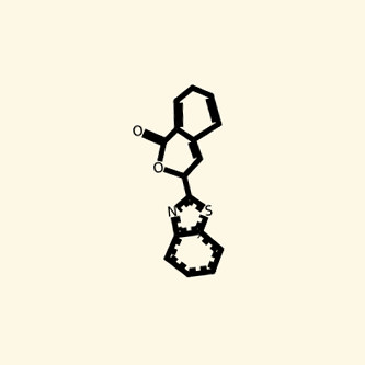 O=C1OC(c2nc3ccccc3s2)C=C2C=CCC=C12